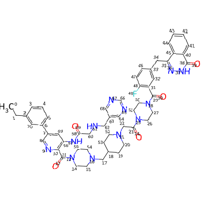 CCc1cccc(-c2cnc(C(=O)N3CCN(CC4CCN(CC(=O)N5CCN(C(=O)c6cc(Cc7n[nH]c(=O)c8ccccc78)ccc6F)CC5)CC4)CC3)c(NC(=O)CNCc3cncnc3)c2)c1